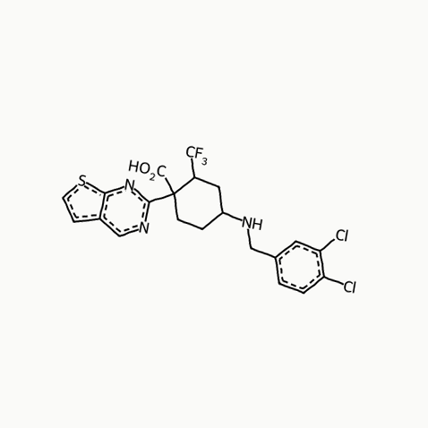 O=C(O)C1(c2ncc3ccsc3n2)CCC(NCc2ccc(Cl)c(Cl)c2)CC1C(F)(F)F